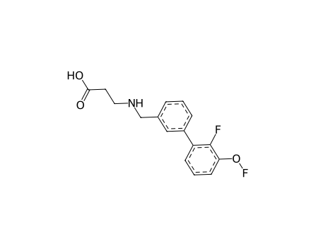 O=C(O)CCNCc1cccc(-c2cccc(OF)c2F)c1